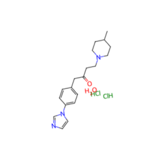 CC1CCN(CCC(=O)Cc2ccc(-n3ccnc3)cc2)CC1.Cl.Cl.O